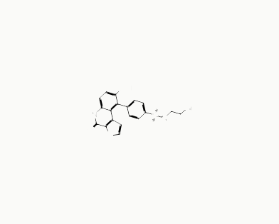 O=c1[nH]c2ccc(O)c(-c3ccc(S(=O)(=O)NCCBr)cc3)c2c2ccsc12